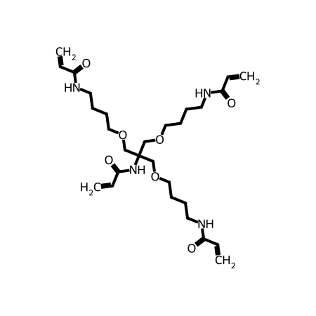 C=CC(=O)NCCCCOCC(COCCCCNC(=O)C=C)(COCCCCNC(=O)C=C)NC(=O)C=C